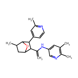 C=C(Nc1cnc(C)c(C)c1)C1C2CC(C)C(O2)C1c1ccnc(C)c1